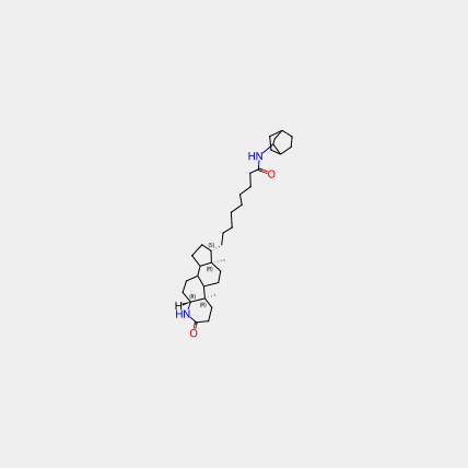 C[C@]12CCC3C(CC[C@H]4NC(=O)CC[C@]34C)C1CC[C@@H]2CCCCCCCCC(=O)NC1CC2CCC1CC2